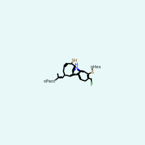 CCCCCCSC1=C(CF)CC=c2c([nH]c3/c2=C\C(/C=C(\C)CCCCC)CC#CC(S)/C=3)=C1